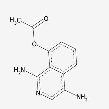 CC(=O)Oc1cccc2c(N)cnc(N)c12